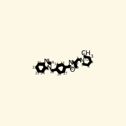 CC1CCCCN1Cc1coc(-c2ccc(Cn3cnc4ccccc43)cc2)n1